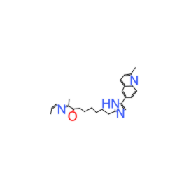 C/C=C\N=C(/C)C(=O)CCCCCCc1ncc(-c2ccc3nc(C)ccc3c2)[nH]1